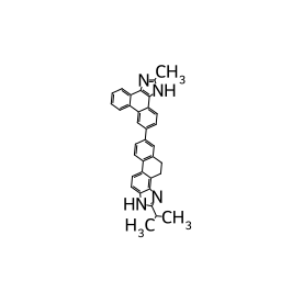 Cc1nc2c3ccccc3c3cc(-c4ccc5c(c4)CCc4c-5ccc5[nH]c(C(C)C)nc45)ccc3c2[nH]1